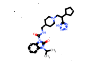 CC(C)n1c(=O)n(C(=O)NCC2CCN(CC(c3nnn[nH]3)C3CCCC3)CC2)c2ccccc21